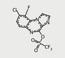 O=S(=O)(Oc1nc2ccc(Cl)c(F)c2n2ccnc12)C(F)(F)F